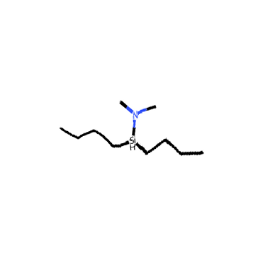 CCCC[SiH](CCCC)N(C)C